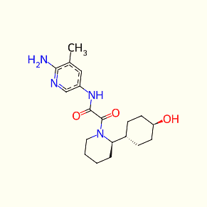 Cc1cc(NC(=O)C(=O)N2CCCC[C@@H]2[C@H]2CC[C@H](O)CC2)cnc1N